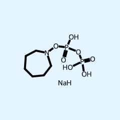 O=P(O)(O)OP(=O)(O)ON1CCCCCC1.[NaH]